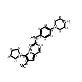 N#Cc1cc2cnc(Nc3ccc(N4CCNCC4)cc3)nn2c1N1CCCC1